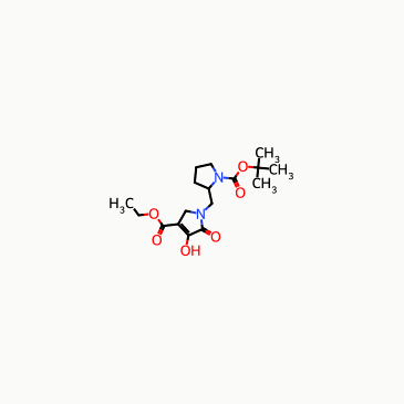 CCOC(=O)C1=C(O)C(=O)N(CC2CCCN2C(=O)OC(C)(C)C)C1